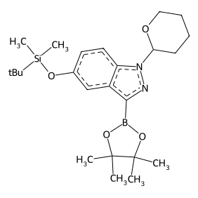 CC1(C)OB(c2nn(C3CCCCO3)c3ccc(O[Si](C)(C)C(C)(C)C)cc23)OC1(C)C